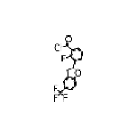 O=C(Cl)c1cccc(C2Cc3cc(C(F)(F)F)ccc3O2)c1F